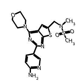 CN(Cc1cc2c(N3CCOCC3)nc(-c3ccc(N)nc3)nc2s1)S(C)(=O)=O